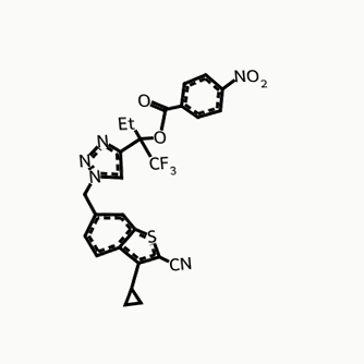 CCC(OC(=O)c1ccc([N+](=O)[O-])cc1)(c1cn(Cc2ccc3c(C4CC4)c(C#N)sc3c2)nn1)C(F)(F)F